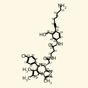 Cc1sc2c(c1C)C(c1ccc(Cl)cc1)=N[C@@H](CC(=O)NCCC(=O)Nc1ccc(C#CCCCCN)c(CO)c1)c1nnc(C)n1-2